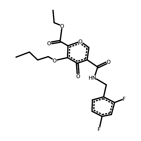 CCCCOc1c(C(=O)OCC)occ(C(=O)NCc2ccc(F)cc2F)c1=O